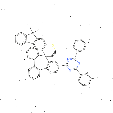 Cc1cccc(-c2nc(-c3ccccc3)nc(-c3ccc4c(c3)C3(c5ccccc5Sc5cc6c(cc53)-c3ccccc3C6(C)C)c3ccccc3-c3ccccc3-4)n2)c1